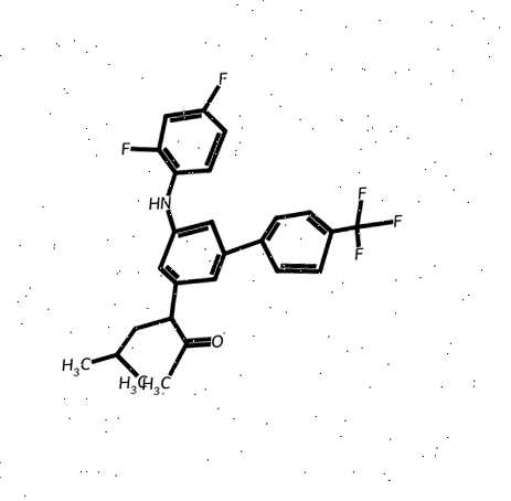 CC(=O)C(CC(C)C)c1cc(Nc2ccc(F)cc2F)cc(-c2ccc(C(F)(F)F)cc2)c1